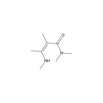 CN/C(C)=C(/C)C(=O)N(C)C